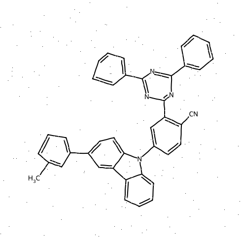 Cc1cccc(-c2ccc3c(c2)c2ccccc2n3-c2ccc(C#N)c(-c3nc(-c4ccccc4)nc(-c4ccccc4)n3)c2)c1